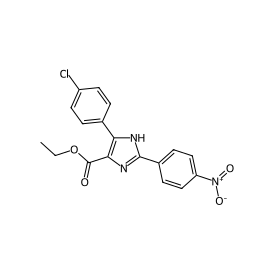 CCOC(=O)c1nc(-c2ccc([N+](=O)[O-])cc2)[nH]c1-c1ccc(Cl)cc1